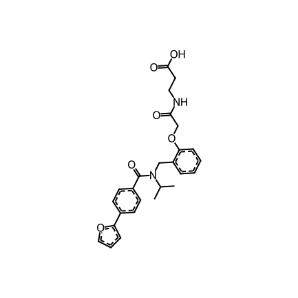 CC(C)N(Cc1ccccc1OCC(=O)NCCC(=O)O)C(=O)c1ccc(-c2ccco2)cc1